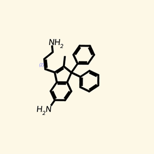 CC1=C(/C=C\CN)c2cc(N)ccc2C1(c1ccccc1)c1ccccc1